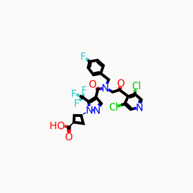 O=C(CN(Cc1ccc(F)cc1)C(=O)c1cnn([C@H]2C[C@H](C(=O)O)C2)c1C(F)(F)F)c1c(Cl)cncc1Cl